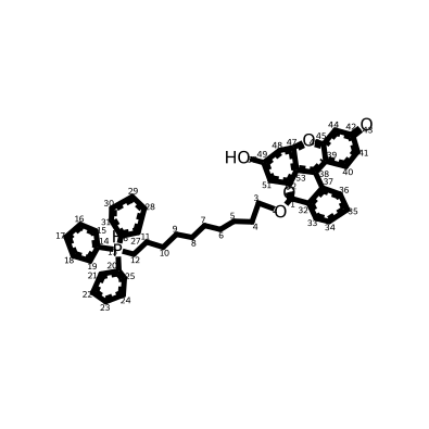 O=C(OCCCCCCCCCC[PH](c1ccccc1)(c1ccccc1)c1ccccc1)c1ccccc1-c1c2ccc(=O)cc-2oc2cc(O)ccc12